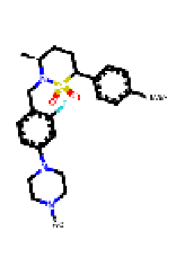 COc1ccc(C2CC[C@H](C)N(Cc3ccc(N4CCN(C(C)=O)CC4)cc3F)S2(=O)=O)cc1